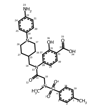 Cc1ccc(S(=O)(=O)N(C)CC(=O)N(CC2CCN(c3ccc(N)cc3)CC2)c2ccc(C(=O)O)c(O)c2)cc1